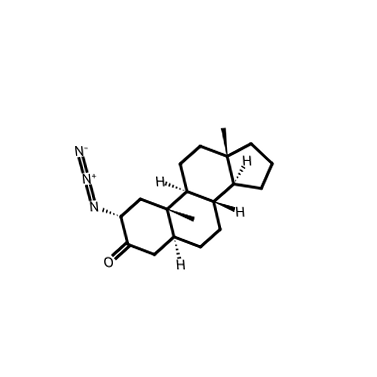 C[C@@]12CCC[C@H]1[C@@H]1CC[C@H]3CC(=O)[C@H](N=[N+]=[N-])C[C@]3(C)[C@H]1CC2